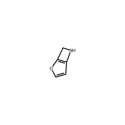 c1cc2c(o1)CN2